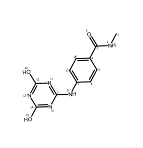 CNC(=O)c1ccc(Nc2nc(O)nc(O)n2)cc1